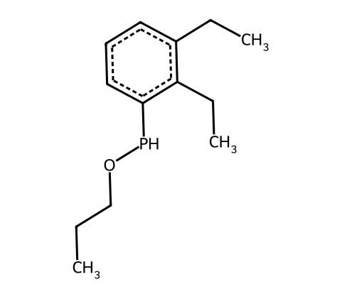 CCCOPc1cccc(CC)c1CC